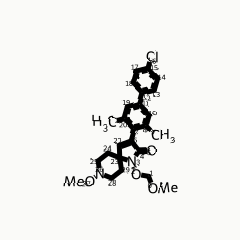 COCON1C(=O)C(c2c(C)cc(-c3ccc(Cl)cc3)cc2C)=CC12CCN(OC)CC2